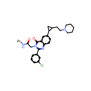 CC(C)NC(=O)Cn1c(-c2cccc(Cl)c2)nc2ccc(C3CC3CCN3CCCCC3)cc2c1=O